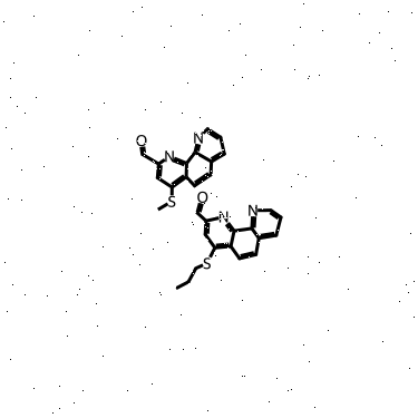 CCCSc1cc(C=O)nc2c1ccc1cccnc12.CSc1cc(C=O)nc2c1ccc1cccnc12